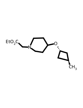 CCOC(=O)CN1CCC(O[C@H]2C[C@H](C)C2)CC1